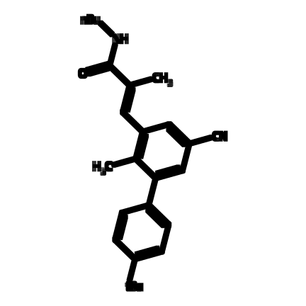 CCCCNC(=O)/C(C)=C/c1cc(C#N)cc(-c2ccc(C(C)(C)C)cc2)c1C